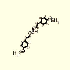 COc1ccc(C=COBOC=Cc2ccc(OC)cc2)cc1